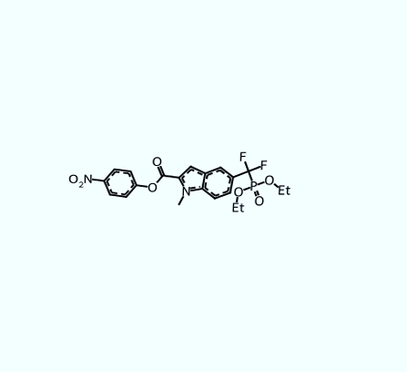 CCOP(=O)(OCC)C(F)(F)c1ccc2c(c1)cc(C(=O)Oc1ccc([N+](=O)[O-])cc1)n2C